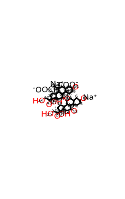 C[C@]12CCC(=O)CC1CCC1C2C(=O)C[C@@]2(C)C1CC[C@]2(O)C(=O)CO.C[C@]12CCC(=O)CC1CC[C@@H]1C3CC[C@](O)(C(=O)CO)[C@@]3(C)CC(=O)[C@H]12.O=C([O-])CCC(=O)[O-].[Na+].[Na+]